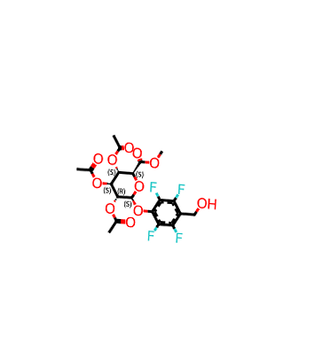 COC(=O)[C@H]1O[C@@H](Oc2c(F)c(F)c(CO)c(F)c2F)[C@H](OC(C)=O)[C@@H](OC(C)=O)[C@@H]1OC(C)=O